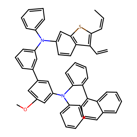 C=Cc1c(/C=C\C)sc2cc(N(c3ccccc3)c3cccc(-c4cc(OC)cc(N(c5ccccc5)c5ccccc5-c5cccc6ccccc56)c4)c3)ccc12